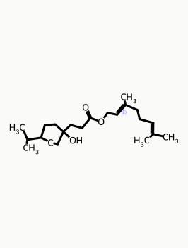 CC(C)=CCC/C(C)=C/COC(=O)CCC1(O)CCC(C(C)C)CC1